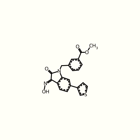 COC(=O)c1cccc(CN2C(=O)/C(=N/O)c3ccc(-c4ccsc4)cc32)c1